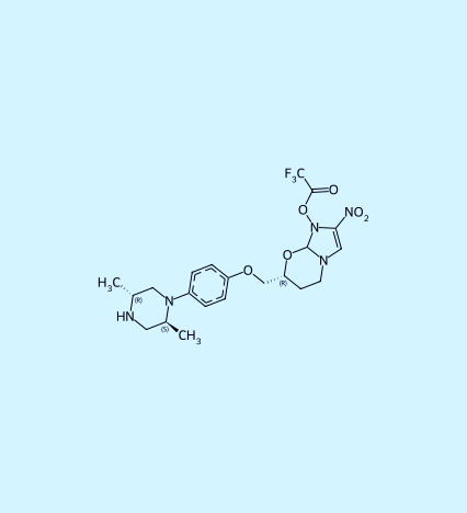 C[C@@H]1CN(c2ccc(OC[C@H]3CCN4C=C([N+](=O)[O-])N(OC(=O)C(F)(F)F)C4O3)cc2)[C@@H](C)CN1